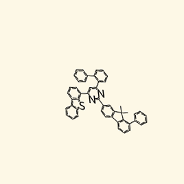 CC1(C)c2cc(-c3nc(-c4ccccc4-c4ccccc4)cc(-c4cccc5c4sc4ccccc45)n3)ccc2-c2cccc(-c3ccccc3)c21